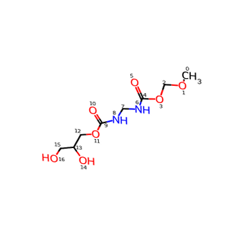 COCOC(=O)NCNC(=O)OCC(O)CO